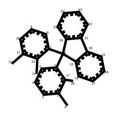 Cc1cccc(C2(c3cccc(C)c3C)c3ccccc3-c3ccccc32)c1C